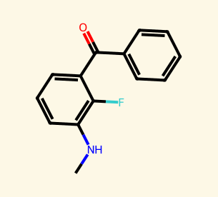 CNc1cccc(C(=O)c2ccccc2)c1F